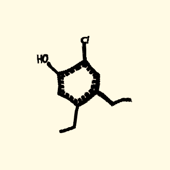 CCc1cc(O)c(Cl)cc1CC